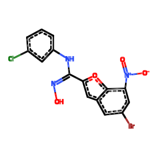 O=[N+]([O-])c1cc(Br)cc2cc(/C(=N\O)Nc3cccc(Cl)c3)oc12